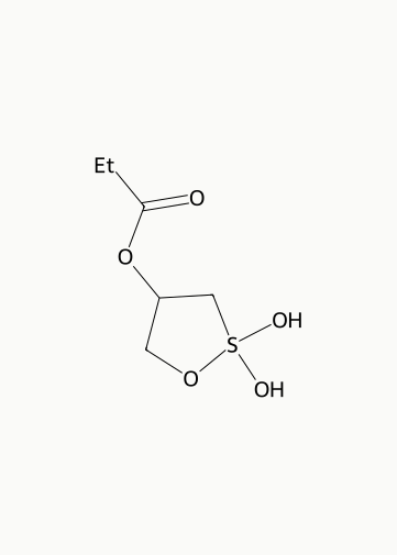 CCC(=O)OC1COS(O)(O)C1